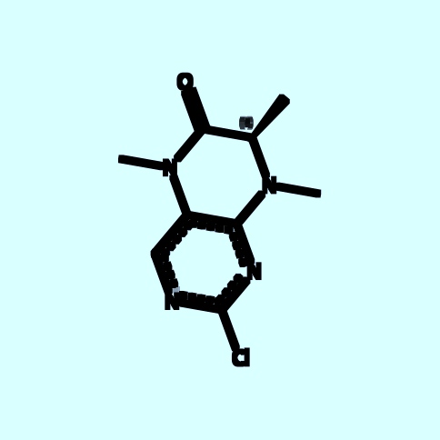 C[C@@H]1C(=O)N(C)c2cnc(Cl)nc2N1C